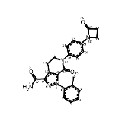 Cc1ccccc1-n1nc(C(N)=O)c2c1C(=O)N(c1ccc(N3CCC3=O)cc1)CC2